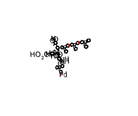 Cc1cc(S(=O)(=O)N(C)C)ccc1-c1ccc(C[C@H](NC(=O)[C@H]2CC[C@H](CNC(=O)O)CC2)C(=O)Nc2ccc3c(=O)[nH][nH]c3c2)cc1.[Pd].c1ccc(P(c2ccccc2)c2ccccc2)cc1.c1ccc(P(c2ccccc2)c2ccccc2)cc1.c1ccc(P(c2ccccc2)c2ccccc2)cc1.c1ccc(P(c2ccccc2)c2ccccc2)cc1